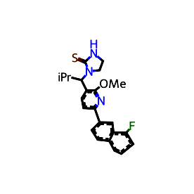 COc1nc(-c2ccc3cccc(F)c3c2)ccc1C(C(C)C)N1CCNC1=S